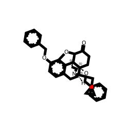 O=C1CC[C@@]2(OCc3ccccc3)[C@H]3Cc4ccc(OCc5ccccc5)c5c4[C@@]2(CCN3CC2CC2)C1O5